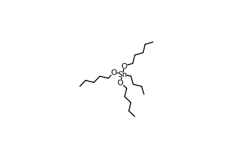 CCCCC[O][Sn]([CH2]CCC)([O]CCCCC)[O]CCCCC